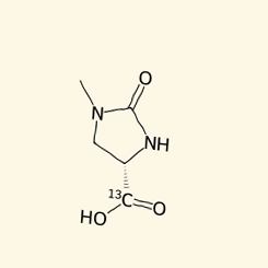 CN1C[C@@H]([13C](=O)O)NC1=O